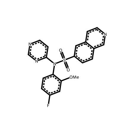 COc1cc(F)ccc1N(c1ccncn1)S(=O)(=O)c1ccc2cnccc2c1